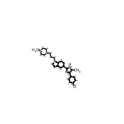 Cc1[nH]c(-c2ccc3c(ccn3CCCN3CCN(C)CC3)c2)nc1-c1ccc(Cl)cc1